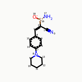 N#C/C(=C\c1ccc(N2CCCCC2)cc1)[S+](N)[O-]